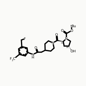 CC(C)(C)OC(=O)N1C[C@H](O)C[C@H]1C(=O)N1CCC(CC(=O)Nc2cc(CF)cc(C(F)(F)F)c2)CC1